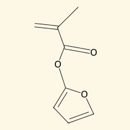 C=C(C)C(=O)Oc1ccco1